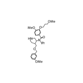 COCCCOc1cc(C(=O)N(C(C)C)C2CNCCC2COCc2cccc(OC)c2)ccc1OC